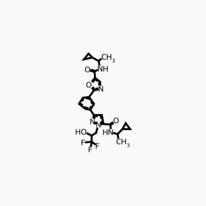 CC(NC(=O)c1cnc(-c2cccc(-c3cc(C(=O)NC(C)C4CC4)n(CC(O)C(F)(F)F)n3)c2)o1)C1CC1